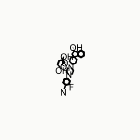 N#Cc1ccc(N2CCN(C3CCC4(CC3)C[C@H](O)c3ccccc34)CC2)cc1F.O=C(O)/C=C\C(=O)O